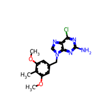 COc1cc(Cn2cnc3c(Cl)nc(N)nc32)cc(OC)c1C